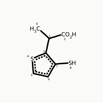 CC(C(=O)O)c1sccc1S